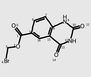 O=C(OCBr)c1ccc2[nH]c(=O)[nH]c(=O)c2c1